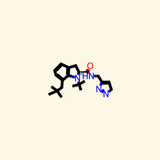 CC(C)(C)Cc1cccc2c1N(C(C)(C)C)[C@H](C(=O)NCC1=CCN=N1)C2